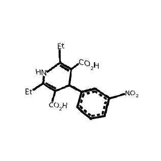 CCC1=C(C(=O)O)C(c2cccc([N+](=O)[O-])c2)C(C(=O)O)=C(CC)N1